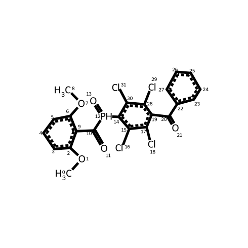 COc1cccc(OC)c1C(=O)[PH](=O)c1c(Cl)c(Cl)c(C(=O)c2ccccc2)c(Cl)c1Cl